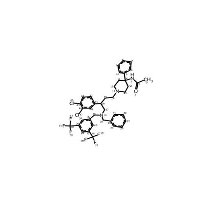 CC(=O)NC1(c2ccccc2)CCN(CCC(CN(Cc2ccccc2)Cc2cc(C(F)(F)F)cc(C(F)(F)F)c2)c2ccc(Cl)c(Cl)c2)CC1